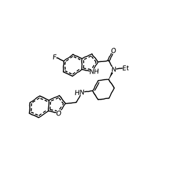 CCN(C(=O)c1cc2cc(F)ccc2[nH]1)[C@@H]1C=C(NCc2cc3ccccc3o2)CCC1